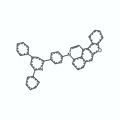 C1=CN(c2ccc(-c3cc(-c4ccccc4)cc(-c4ccccc4)n3)cc2)c2cccc3cc4oc5ccccc5c4c1c23